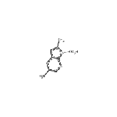 Cc1cc2cc(N)cnc2n1C(=O)O